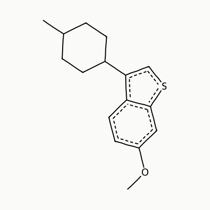 COc1ccc2c(C3CCC(C)CC3)csc2c1